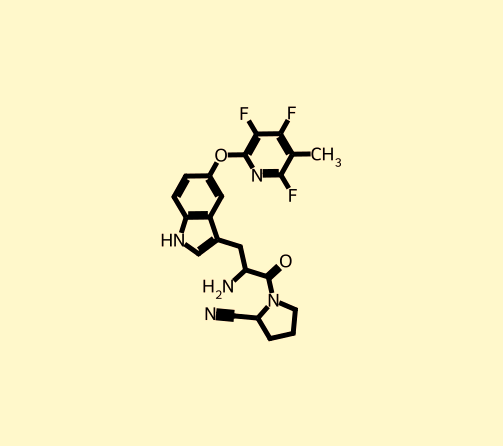 Cc1c(F)nc(Oc2ccc3[nH]cc(CC(N)C(=O)N4CCCC4C#N)c3c2)c(F)c1F